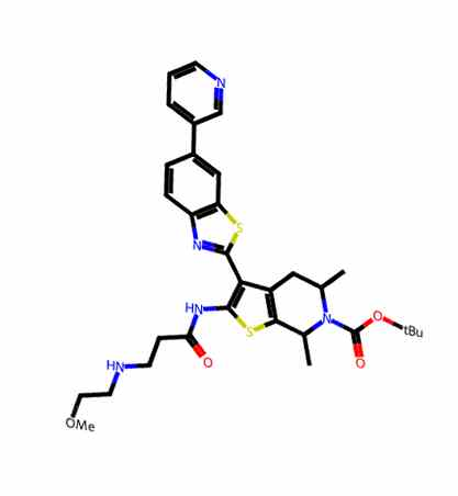 COCCNCCC(=O)Nc1sc2c(c1-c1nc3ccc(-c4cccnc4)cc3s1)CC(C)N(C(=O)OC(C)(C)C)C2C